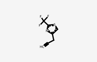 C#C[CH]c1csc(C(F)(F)F)n1